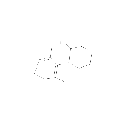 Cc1cccc(C)c1N1CCCCC1C